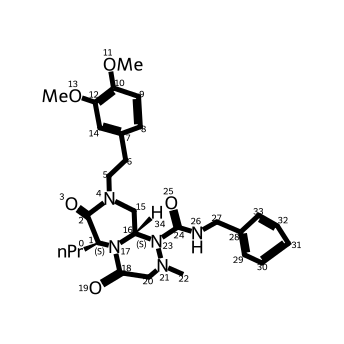 CCC[C@H]1C(=O)N(CCc2ccc(OC)c(OC)c2)C[C@H]2N1C(=O)CN(C)N2C(=O)NCc1ccccc1